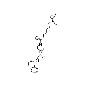 CCOC(=O)CCCCCCC(=O)N1CCN(C(=O)COc2cccc3ccccc23)CC1